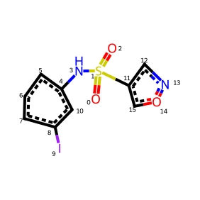 O=S(=O)(Nc1cccc(I)c1)c1cnoc1